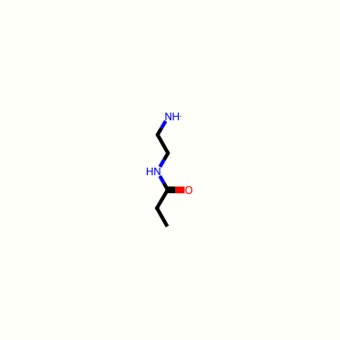 CCC(=O)NCC[NH]